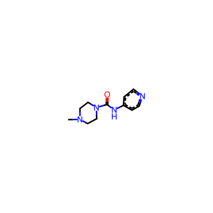 CN1CCN(C(=O)Nc2ccncc2)CC1